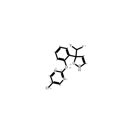 FC(F)C1(c2ccccc2Oc2ncc(Cl)cn2)C=CNO1